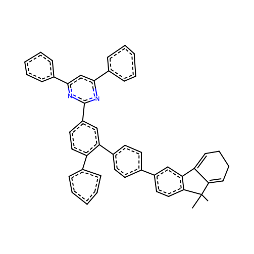 CC1(C)C2=CCCC=C2c2cc(-c3ccc(-c4cc(-c5nc(-c6ccccc6)cc(-c6ccccc6)n5)ccc4-c4ccccc4)cc3)ccc21